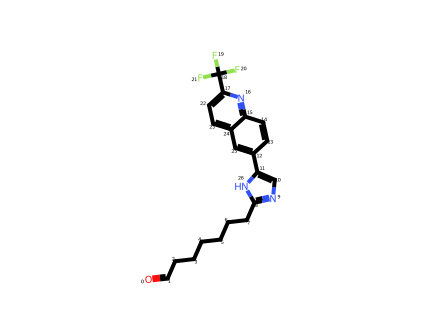 O=CCCCCCCc1ncc(-c2ccc3nc(C(F)(F)F)ccc3c2)[nH]1